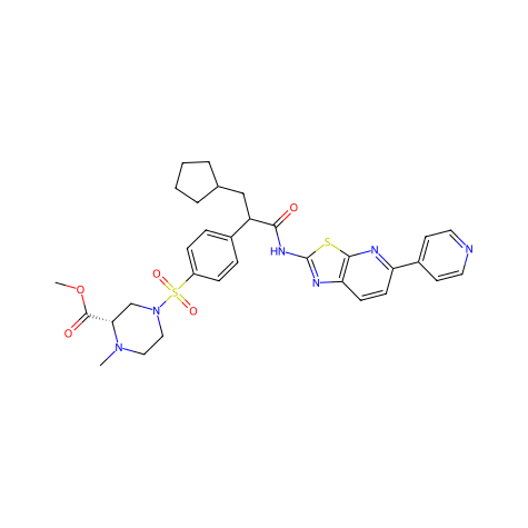 COC(=O)[C@@H]1CN(S(=O)(=O)c2ccc(C(CC3CCCC3)C(=O)Nc3nc4ccc(-c5ccncc5)nc4s3)cc2)CCN1C